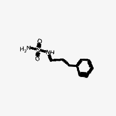 NS(=O)(=O)NCCCc1ccccc1